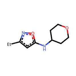 CCc1cc(NC2CCOCC2)on1